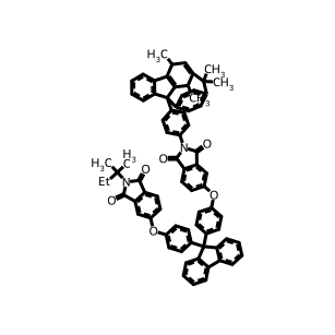 CCC(C)(C)N1C(=O)c2ccc(Oc3ccc(C4(c5ccc(Oc6ccc7c(c6)C(=O)N(c6ccc(C89C%10=C(c%11ccccc%118)C(C)C=C(C%10C)C(C)(C)c8ccc9cc8)cc6)C7=O)cc5)c5ccccc5-c5ccccc54)cc3)cc2C1=O